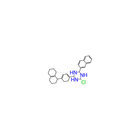 ClC1NC(C2=CC=C(C3CCCC4=C3CCCC4)CC2)NC(c2ccc3ccccc3c2)N1